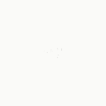 [AlH3].[Ta].[Ti].[Zr]